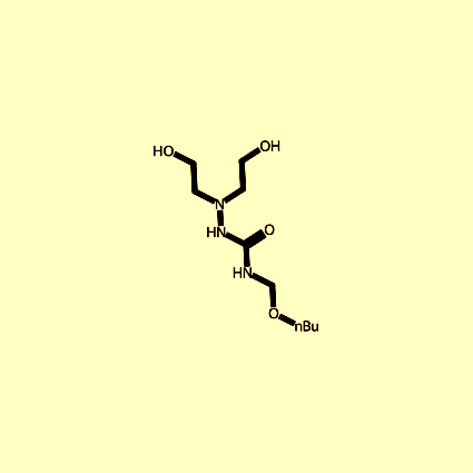 CCCCOCNC(=O)NN(CCO)CCO